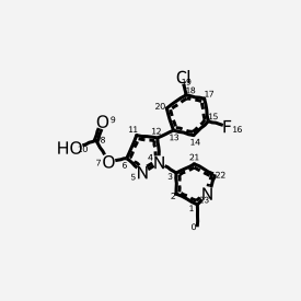 Cc1cc(-n2nc(OC(=O)O)cc2-c2cc(F)cc(Cl)c2)ccn1